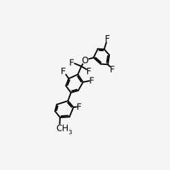 Cc1ccc(-c2cc(F)c(C(F)(F)Oc3cc(F)cc(F)c3)c(F)c2)c(F)c1